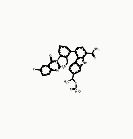 CC(O[SH](=O)=O)c1ccc2c(c1)[nH]c1c(C(N)=O)ccc(-c3cccc(-n4cnc5ccc(F)cc5c4=O)c3CN)c12